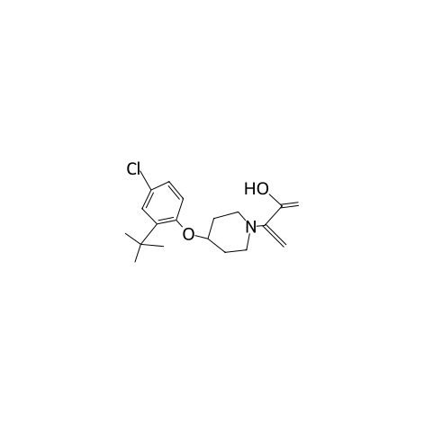 C=C(O)C(=C)N1CCC(Oc2ccc(Cl)cc2C(C)(C)C)CC1